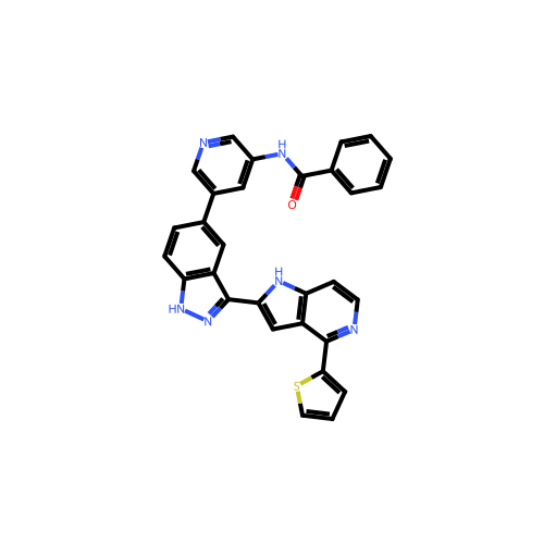 O=C(Nc1cncc(-c2ccc3[nH]nc(-c4cc5c(-c6cccs6)nccc5[nH]4)c3c2)c1)c1ccccc1